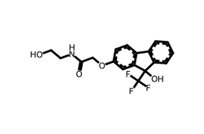 O=C(COc1ccc2c(c1)C(O)(C(F)(F)F)c1ccccc1-2)NCCO